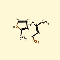 CC(C)=CCS.Cc1cccs1